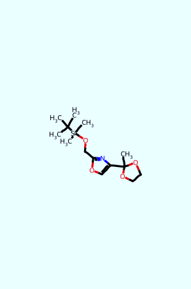 CC1(c2coc(CO[Si](C)(C)C(C)(C)C)n2)OCCO1